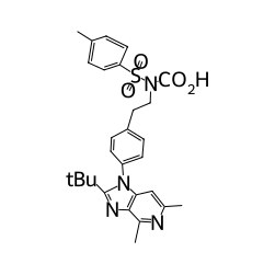 Cc1ccc(S(=O)(=O)N(CCc2ccc(-n3c(C(C)(C)C)nc4c(C)nc(C)cc43)cc2)C(=O)O)cc1